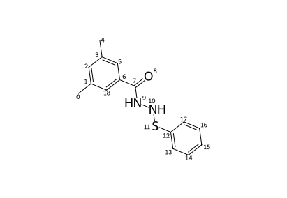 Cc1cc(C)cc(C(=O)NNSc2ccccc2)c1